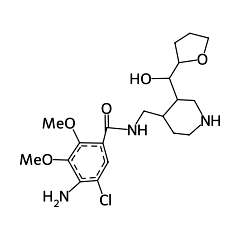 COc1c(C(=O)NCC2CCNCC2C(O)C2CCCO2)cc(Cl)c(N)c1OC